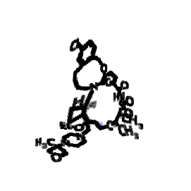 CCOC1(CN2CCN(C3(C)COC3)CC2)/C=C/C[C@H](C)[C@@H](C)S(=O)(=O)NC(=O)c2ccc3c(c2)N(CCCCc2cc(Cl)ccc2CO3)C[C@@H]2CCC21